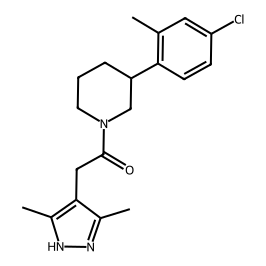 Cc1cc(Cl)ccc1C1CCCN(C(=O)Cc2c(C)n[nH]c2C)C1